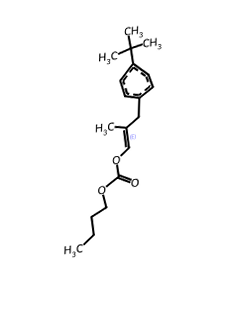 CCCCOC(=O)O/C=C(\C)Cc1ccc(C(C)(C)C)cc1